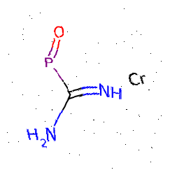 N=C(N)P=O.[Cr]